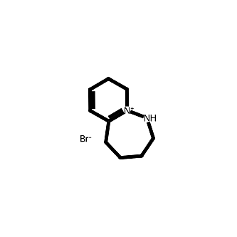 C1=CC2=[N+](CC1)NCCCC2.[Br-]